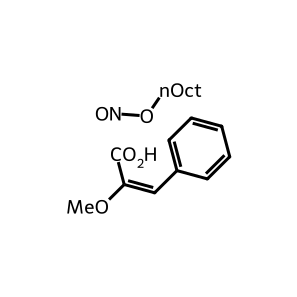 CCCCCCCCON=O.COC(=Cc1ccccc1)C(=O)O